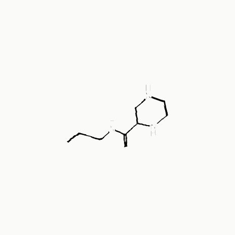 CCCNC(=O)C1CNCCN1